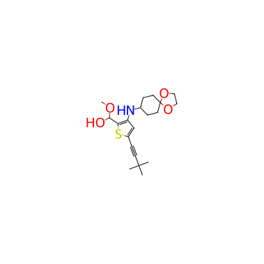 COC(O)c1sc(C#CC(C)(C)C)cc1NC1CCC2(CC1)OCCO2